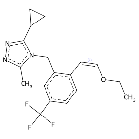 CCO/C=C\c1ccc(C(F)(F)F)cc1Cn1c(C)nnc1C1CC1